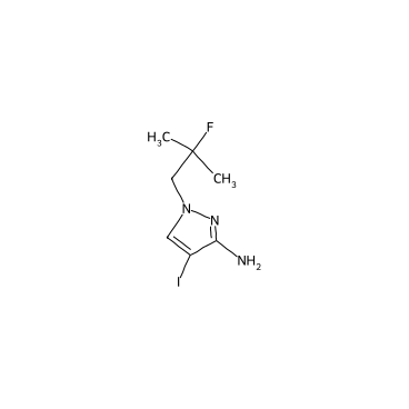 CC(C)(F)Cn1cc(I)c(N)n1